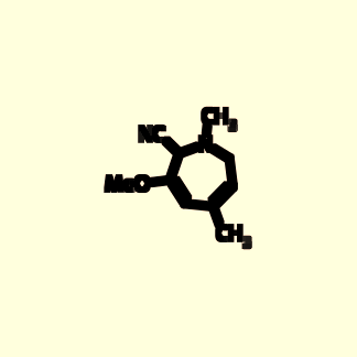 COC1=CC(C)=CCN(C)C1C#N